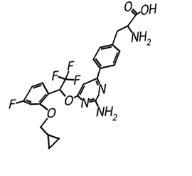 Nc1nc(OC(c2ccc(F)cc2OCC2CC2)C(F)(F)F)cc(-c2ccc(CC(N)C(=O)O)cc2)n1